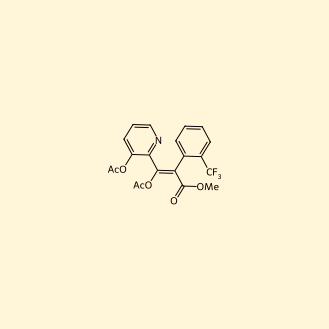 COC(=O)C(=C(OC(C)=O)c1ncccc1OC(C)=O)c1ccccc1C(F)(F)F